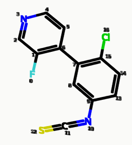 Fc1cnccc1-c1cc(N=C=S)ccc1Cl